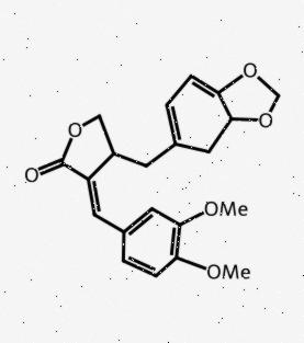 COc1ccc(/C=C2/C(=O)OCC2CC2=CC=C3OCOC3C2)cc1OC